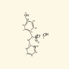 Cl.Cl.NC(Cc1ccccn1)c1ccc(O)cc1